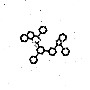 Cc1c(/C(=N\C(C)c2cc(-c3ccccc3)cc(-c3cccc(-c4nc5ccccn5c4-c4ccccc4)c3)c2)c2ccccc2)ccc2ccccc12